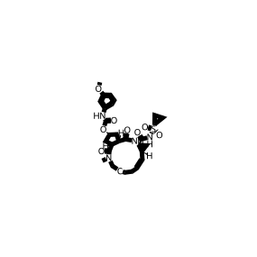 COc1cccc(NC(=O)O[C@@H]2C[C@H]3C(=O)N[C@]4(C(=O)NS(=O)(=O)C5CC5)C[C@H]4/C=C\CCCCN(C)C(=O)[C@@H]3C2)c1